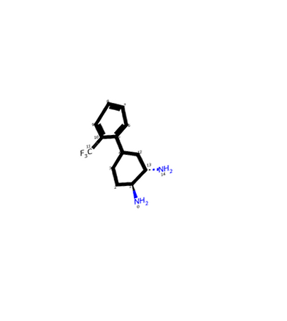 N[C@H]1CCC(c2ccccc2C(F)(F)F)C[C@@H]1N